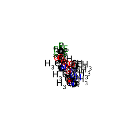 CC[C@H](C)[C@@H]([C@@H](CC(=O)N1CCC[C@H]1C(OC)[C@@H](C)C(=O)Oc1c(F)c(F)c(F)c(F)c1F)OC)N(C)C(=O)[C@@H](NC(=O)[C@@]1(C)CCCN1C)C(C)C